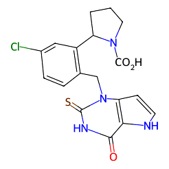 O=C(O)N1CCCC1c1cc(Cl)ccc1Cn1c(=S)[nH]c(=O)c2[nH]ccc21